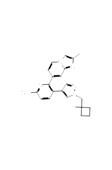 Cc1cn2ccc(-c3nc(C#N)ccc3-c3cnn(CC4(F)CCC4)c3)cc2n1